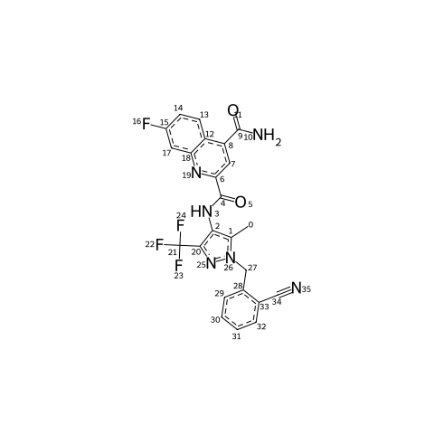 Cc1c(NC(=O)c2cc(C(N)=O)c3ccc(F)cc3n2)c(C(F)(F)F)nn1Cc1ccccc1C#N